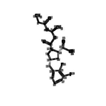 CCC(=O)O[C@@H](C)OC(=O)N1C[C@@H](Cc2cccc(F)c2F)C[C@H]1C(=O)O